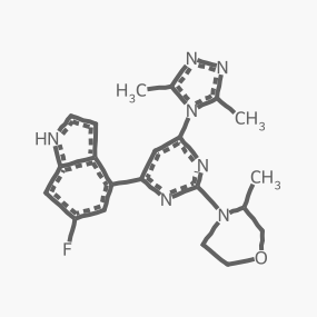 Cc1nnc(C)n1-c1cc(-c2cc(F)cc3[nH]ccc23)nc(N2CCOCC2C)n1